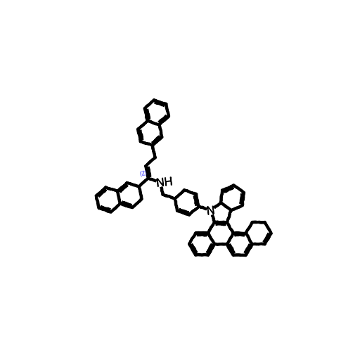 C1=CC2c3c(c4ccccc4c4ccc5c(c34)CCC=C5)N(C3=CCC(CN/C(=C\Cc4ccc5ccccc5c4)C4C=c5ccccc5=CC4)C=C3)C2C=C1